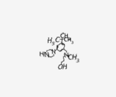 CN(CCCO)Cc1cc(N2CCNCC2)cc(C(C)(C)C)c1